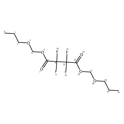 CCCOCOC(=O)C(F)(F)C(F)(F)C(=O)OCOCCC